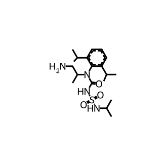 CC(C)NS(=O)(=O)NC(=O)N(c1c(C(C)C)cccc1C(C)C)C(C)CN